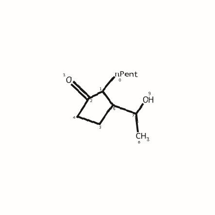 CCCCCC1C(=O)CCC1C(C)O